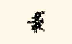 CNC(c1nc2cc(C#N)ccc2[nH]1)c1c(OC(F)F)cc(C)c2[nH]ccc12